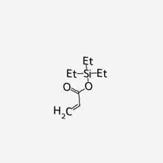 C=CC(=O)O[Si](CC)(CC)CC